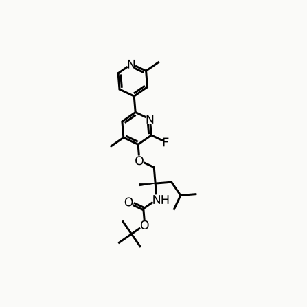 Cc1cc(-c2cc(C)c(OC[C@](C)(CC(C)C)NC(=O)OC(C)(C)C)c(F)n2)ccn1